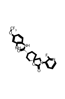 Nc1cc(OC(F)(F)F)ccc1NC(=O)[C@H]1CC[C@]2(CC1)CN(c1cccnc1F)C(=O)O2